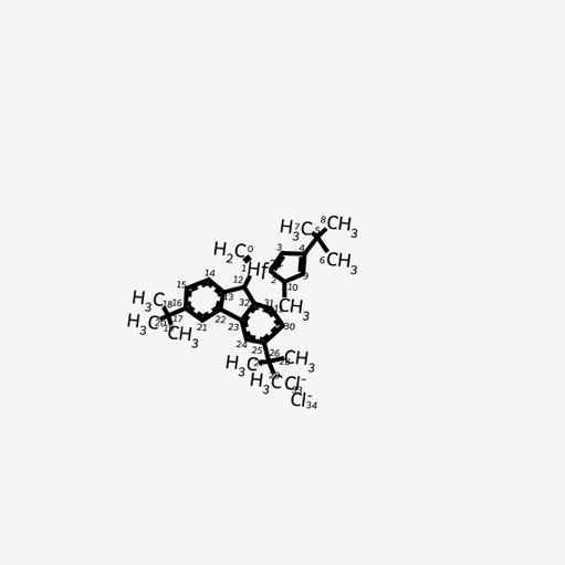 [CH2]=[Hf+2]([C]1=CC(C(C)(C)C)=CC1C)[CH]1c2ccc(C(C)(C)C)cc2-c2cc(C(C)(C)C)ccc21.[Cl-].[Cl-]